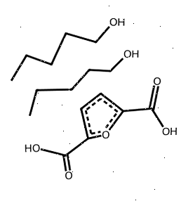 CCCCCO.CCCCCO.O=C(O)c1ccc(C(=O)O)o1